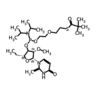 C=C1NC(=O)C=CN1[C@@H]1O[C@H](CC)C(OP(OCCOCCSC(=O)C(C)(C)C)N(C(C)C)C(C)C)[C@@H]1OC